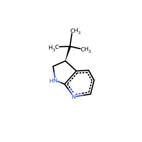 CC(C)(C)[C@@H]1CNc2ncccc21